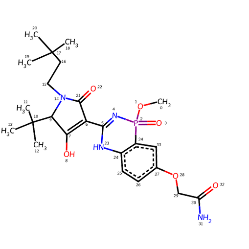 COP1(=O)N=C(C2=C(O)C(C(C)(C)C)N(CCC(C)(C)C)C2=O)Nc2ccc(OCC(N)=O)cc21